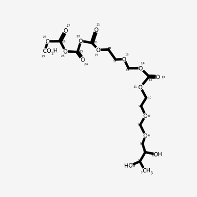 CC(O)C(O)COCOCCOC(=O)OCOCCOC(=O)OC(=O)OC(=O)OC(=O)O